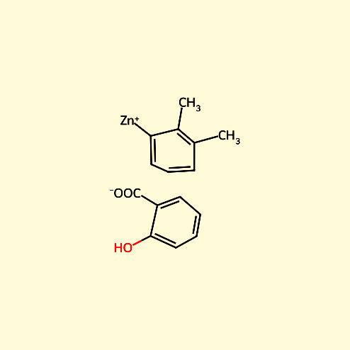 Cc1ccc[c]([Zn+])c1C.O=C([O-])c1ccccc1O